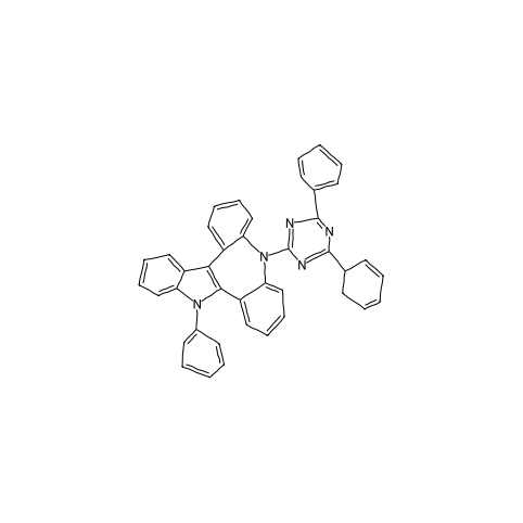 C1=CCC(c2nc(-c3ccccc3)nc(N3c4ccccc4-c4c(n(-c5ccccc5)c5ccccc45)-c4ccccc43)n2)C=C1